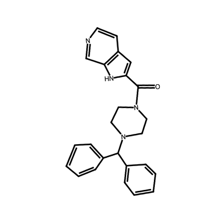 O=C(c1cc2ccncc2[nH]1)N1CCN(C(c2ccccc2)c2ccccc2)CC1